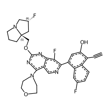 C#Cc1c(O)cc(-c2ncc3c(N4CCOCC4)nc(OC[C@@]45CCCN4C[C@H](F)C5)nc3c2F)c2cc(F)ccc12